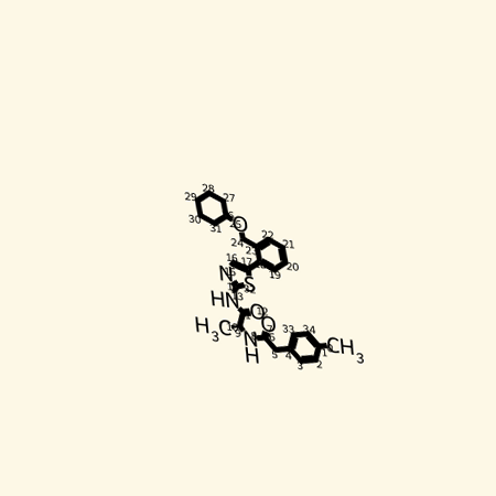 Cc1ccc(CC(=O)N[C@@H](C)C(=O)Nc2ncc(-c3ccccc3COC3CCCCC3)s2)cc1